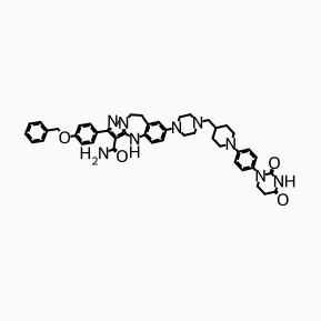 NC(=O)c1c(-c2ccc(OCc3ccccc3)cc2)nn2c1Nc1ccc(N3CCN(CC4CCN(c5ccc(N6CCC(=O)NC6=O)cc5)CC4)CC3)cc1CC2